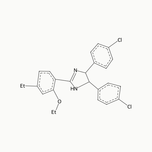 CCOc1cc(CC)ccc1C1=NC(c2ccc(Cl)cc2)C(c2ccc(Cl)cc2)N1